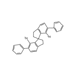 [2H]c1c(-c2ccccc2)ccc2c1C1(CC2)CCc2ccc(-c3ccccc3)c([2H])c21